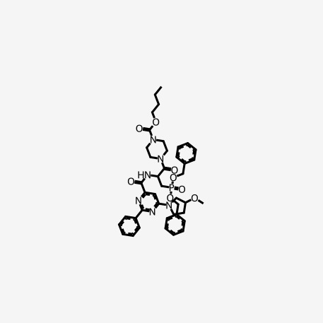 CCCCOC(=O)N1CCN(C(=O)C(CP(=O)(OCc2ccccc2)OCc2ccccc2)NC(=O)c2cc(N3CCC(OC)C3)nc(-c3ccccc3)n2)CC1